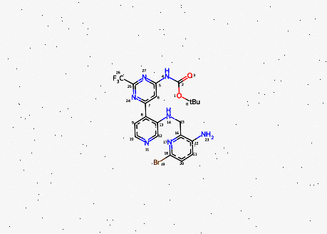 CC(C)(C)OC(=O)Nc1cc(-c2ccncc2NCc2nc(Br)ccc2N)nc(C(F)(F)F)n1